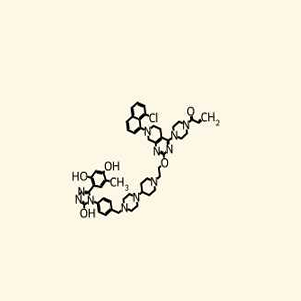 C=CC(=O)N1CCN(c2nc(OCCN3CCC(N4CCN(Cc5ccc(-n6c(O)nnc6-c6cc(C)c(O)cc6O)cc5)CC4)CC3)nc3c2CCN(c2cccc4cccc(Cl)c24)C3)CC1